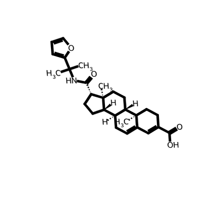 CC(C)(NC(=O)[C@H]1CC[C@H]2[C@@H]3CC=C4C=C(C(=O)O)CC[C@]4(C)[C@H]3CC[C@]12C)c1ccco1